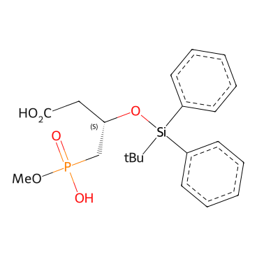 COP(=O)(O)C[C@H](CC(=O)O)O[Si](c1ccccc1)(c1ccccc1)C(C)(C)C